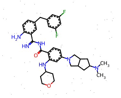 CN(C)C1CC2CN(c3ccc(C(=O)NC(=N)c4cc(Cc5cc(F)cc(F)c5)ccc4N)c(NC4CCOCC4)c3)CC2C1